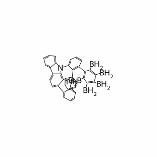 Bc1c(B)c(B)c(-c2cccc(-n3c4ccccc4c4ccc5c6ccccc6[nH]c5c43)c2-c2ccccc2)c(B)c1B